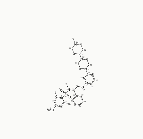 COc1cc(C)c(S(=O)(=O)N(C)C(COc2nccc(N3CCN(C4CCN(C)CC4)CC3)n2)c2ccccc2)c(C)c1